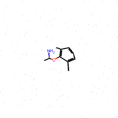 Cc1cccc(C)c1OC(C)N